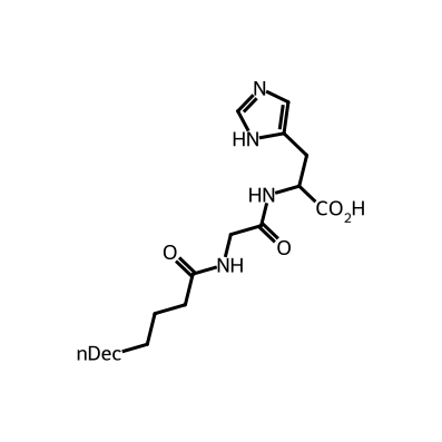 CCCCCCCCCCCCCC(=O)NCC(=O)NC(Cc1cnc[nH]1)C(=O)O